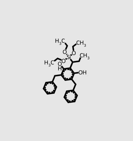 CCO[Si](OCC)(OCC)C(CC)c1c(O)c(Cc2ccccc2)cc(Cc2ccccc2)c1O